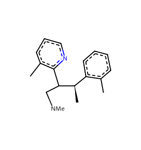 CNCC(c1ncccc1C)[C@H](C)c1ccccc1C